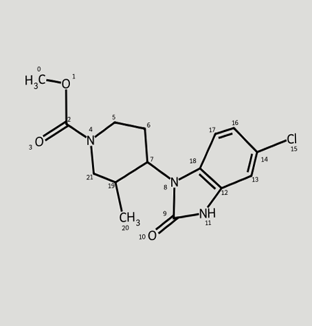 COC(=O)N1CCC(n2c(=O)[nH]c3cc(Cl)ccc32)C(C)C1